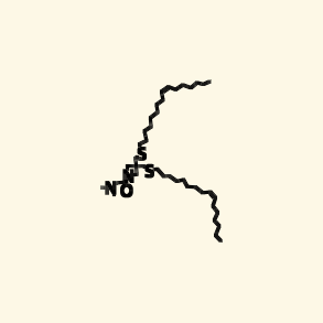 CCCCCC/C=C\CCCCCCCCSCC1(CSCCCCCCCC/C=C\CCCCCC)CN(C(=O)CN(C)C)C1